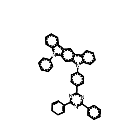 C1=CC(c2nc(-c3ccccc3)nc(-c3ccc(-n4c5ccccc5c5cc6c7ccccc7n(-c7ccccc7)c6cc54)cc3)n2)=CCC1